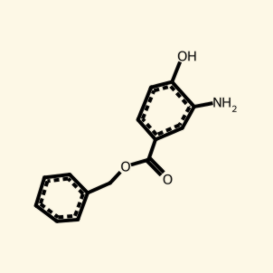 Nc1cc(C(=O)OCc2ccccc2)ccc1O